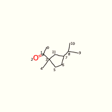 CC(=O)C1(C)CCC(C(C)C)C1